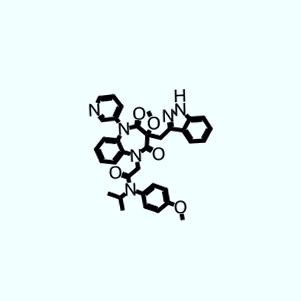 COc1ccc(N(C(=O)CN2C(=O)C(Cc3n[nH]c4ccccc34)(OC)C(=O)N(c3cccnc3)c3ccccc32)C(C)C)cc1